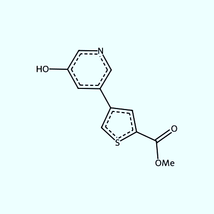 COC(=O)c1cc(-c2cncc(O)c2)cs1